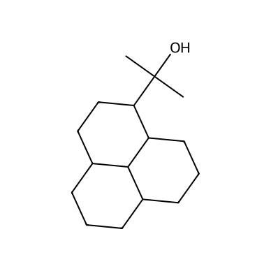 CC(C)(O)C1CCC2CCCC3CCCC1C32